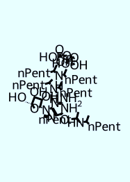 CCCCCC(C)NC(C)CCCCC.CCCCCC(C)NC(C)CCCCC.CCCCCC(C)NC(C)CCCCC.Nc1nc2c(ncn2[C@@H]2O[C@H](CO)[C@@H](O)[C@H]2O)c(=O)[nH]1.O=P(O)(O)OP(=O)(O)O